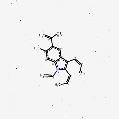 C=Cn1c(/C=C\C)c(/C=C\C)c2cc(C(=C)C)c(C)cc21